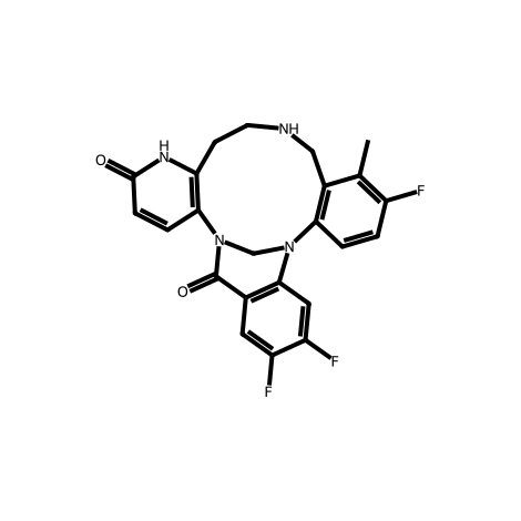 Cc1c(F)ccc2c1CNCCc1[nH]c(=O)ccc1N1CN2c2cc(F)c(F)cc2C1=O